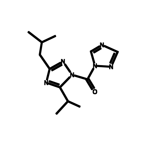 CC(C)Cc1nc(C(C)C)n(C(=O)n2cncn2)n1